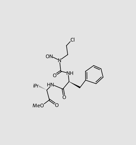 COC(=O)[C@@H](NC(=O)[C@H](Cc1ccccc1)NC(=O)N(CCCl)N=O)C(C)C